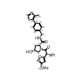 CSc1cc([C@@H](C(=O)N2C[C@H](O)C[C@H]2C(=O)NCc2ccc(-c3scnc3C)cc2)C(C)C)on1